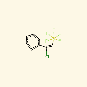 FS(F)(F)(F)(F)/C=C(/Cl)c1ccccc1